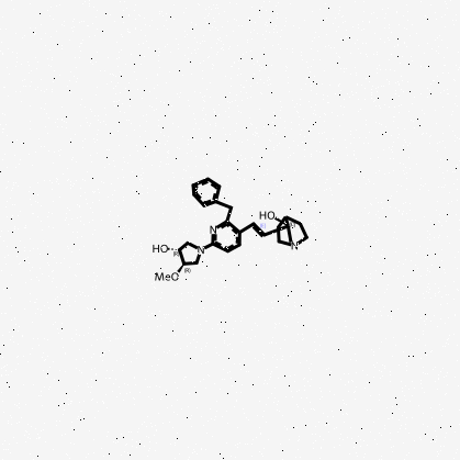 CO[C@@H]1CN(c2ccc(/C=C/[C@@]3(O)CN4CCC3CC4)c(Cc3ccccc3)n2)C[C@H]1O